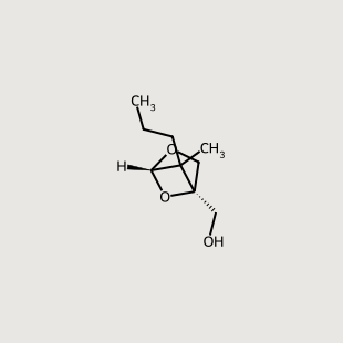 CCCC1(C)[C@H]2OC[C@@]1(CO)O2